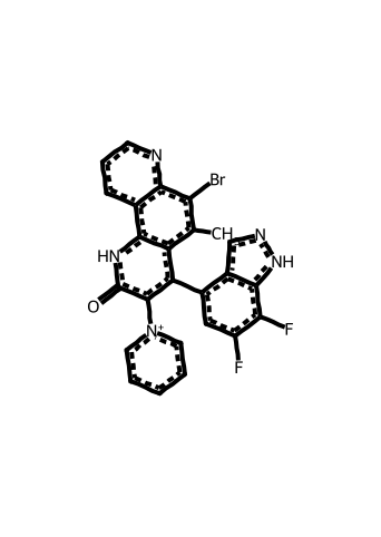 Cc1c(Br)c2ncccc2c2[nH]c(=O)c(-[n+]3ccccc3)c(-c3cc(F)c(F)c4[nH]ncc34)c12